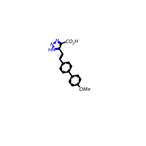 COc1ccc(-c2ccc(/C=C/c3[nH]nnc3C(=O)O)cc2)cc1